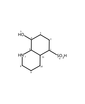 O=S(=O)(O)C1CCC(O)C2NCCCC21